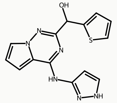 OC(c1nc(Nc2cc[nH]n2)c2cccn2n1)c1cccs1